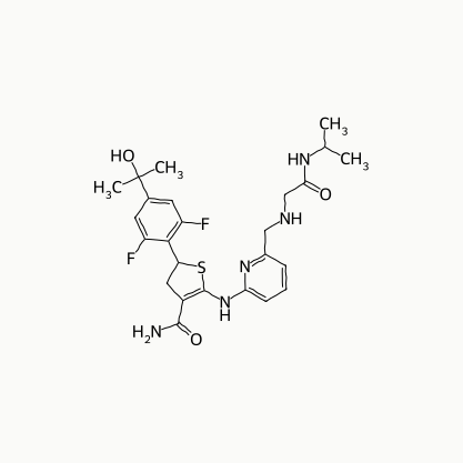 CC(C)NC(=O)CNCc1cccc(NC2=C(C(N)=O)CC(c3c(F)cc(C(C)(C)O)cc3F)S2)n1